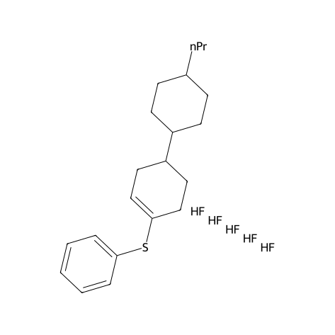 CCCC1CCC(C2CC=C(Sc3ccccc3)CC2)CC1.F.F.F.F.F